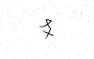 FC(F)(F)CC1(S)CC1